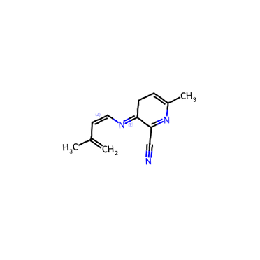 C=C(C)/C=C\N=C1/CC=C(C)N=C1C#N